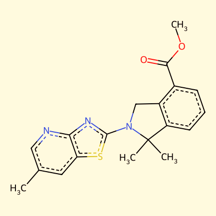 COC(=O)c1cccc2c1CN(c1nc3ncc(C)cc3s1)C2(C)C